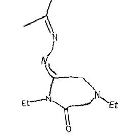 CCN1CC(=NN=C(C)C)N(CC)C1=O